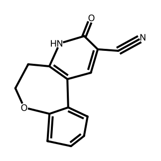 N#Cc1cc2c([nH]c1=O)CCOc1ccccc1-2